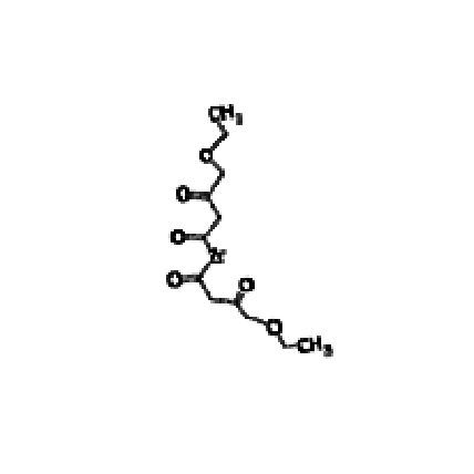 CCOCC(=O)C[C](=O)[Zr][C](=O)CC(=O)COCC